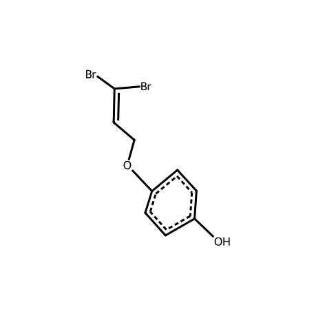 Oc1ccc(OCC=C(Br)Br)cc1